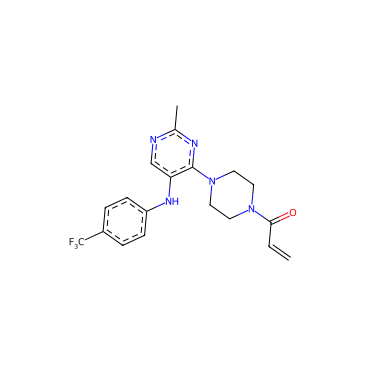 C=CC(=O)N1CCN(c2nc(C)ncc2Nc2ccc(C(F)(F)F)cc2)CC1